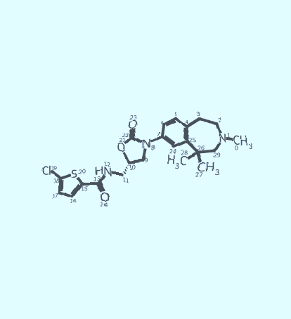 CN1CCc2ccc(N3C[C@H](CNC(=O)c4ccc(Cl)s4)OC3=O)cc2C(C)(C)C1